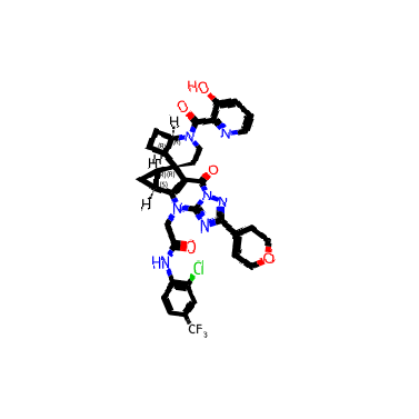 O=C(Cn1c2c(c(=O)n3nc(C4=CCOCC4)nc13)[C@]1(CCN(C(=O)c3ncccc3O)[C@@H]3CC[C@@H]31)[C@@H]1C[C@H]21)Nc1ccc(C(F)(F)F)cc1Cl